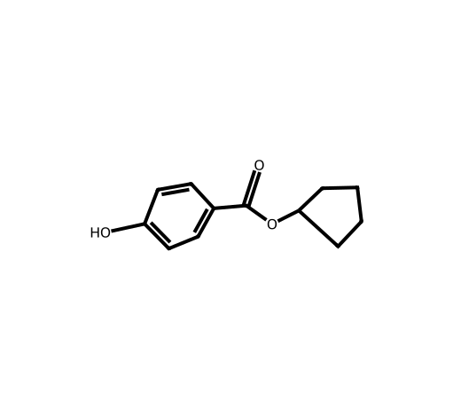 O=C(OC1CCCC1)c1ccc(O)cc1